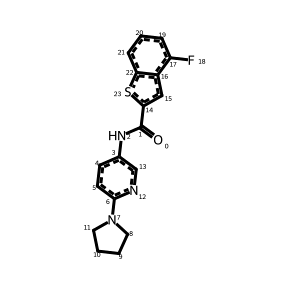 O=C(Nc1ccc(N2CCCC2)nc1)c1cc2c(F)cccc2s1